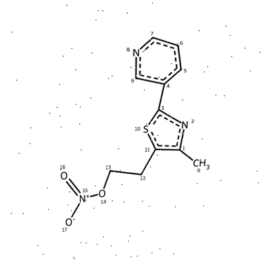 Cc1nc(-c2cccnc2)sc1CCO[N+](=O)[O-]